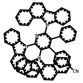 N#Cc1ccc(-c2c(-c3ccccc3)c(-n3c4ccccc4c4ccc5ccccc5c43)nc(-n3c4ccccc4c4ccc5ccccc5c43)c2-n2c3ccccc3c3ccc4ccccc4c32)cc1